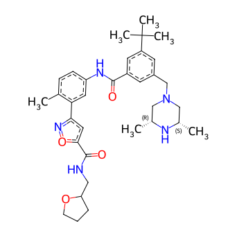 Cc1ccc(NC(=O)c2cc(CN3C[C@@H](C)N[C@@H](C)C3)cc(C(C)(C)C)c2)cc1-c1cc(C(=O)NCC2CCCO2)on1